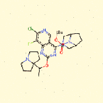 CC(Oc1nc(N2CC3CCC(C2)N3C(=O)OC(C)(C)C)c2cnc(Cl)c(F)c2n1)C12CCCN1CCC2